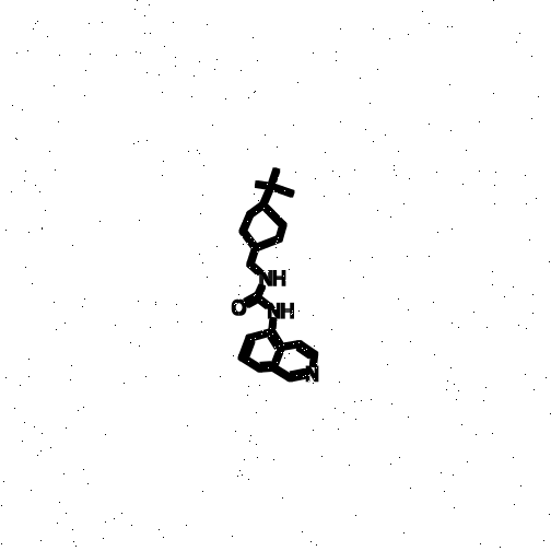 CC(C)(C)C1CCC(CNC(=O)Nc2cccc3cnccc23)CC1